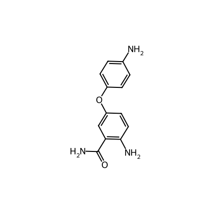 NC(=O)c1cc(Oc2ccc(N)cc2)ccc1N